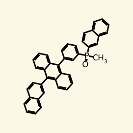 CP(=O)(c1cccc(-c2c3ccccc3c(-c3ccc4ccccc4c3)c3ccccc23)c1)c1ccc2ccccc2c1